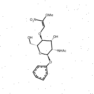 COC(=CO[C@H]1[C@H](O)[C@H](NC(C)=O)[C@@H](Oc2ccccc2)O[C@@H]1CO)[N+](=O)[O-]